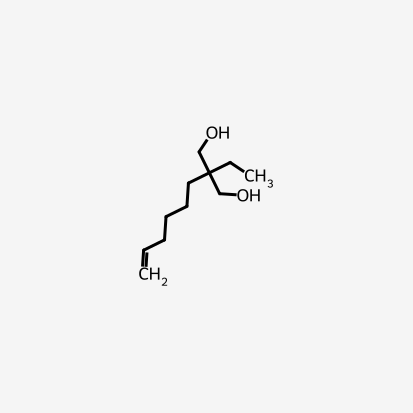 C=CCCCCC(CC)(CO)CO